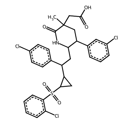 CC1(CC(=O)O)CC(c2cccc(Cl)c2)C(CC(c2ccc(Cl)cc2)C2CC2S(=O)(=O)c2ccccc2Cl)NC1=O